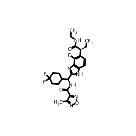 Cc1nonc1C(=O)N[C@H](c1nc2c(F)c([C@H](CC(F)(F)F)C(=O)NCC(F)(F)F)ccc2[nH]1)C1CCC(F)(F)CC1